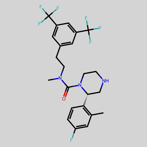 Cc1cc(F)ccc1[C@H]1CNCCN1C(=O)N(C)CCc1cc(C(F)(F)F)cc(C(F)(F)F)c1